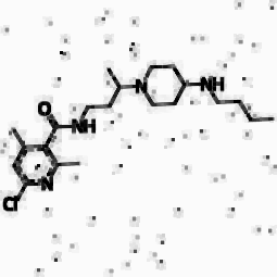 CCCCNC1CCN(C(C)CCNC(=O)c2c(C)cc(Cl)nc2C)CC1